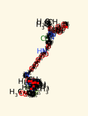 COCOc1cc(-c2ncc3c(N4CC5CCC(C4)N5C(=O)OC(C)(C)C)nc(OC[C@@H]4CCCN4CCCOCCOCCOCCOCC(=O)NCCOc4ccc(-c5nc6nc(O[C@@H]7CO[C@H]8[C@@H]7OC[C@H]8OC7CCCCO7)n(COCC[Si](C)(C)C)c6cc5Cl)cc4)nc3c2F)c2c(C#C[Si](C(C)C)(C(C)C)C(C)C)c(F)ccc2c1